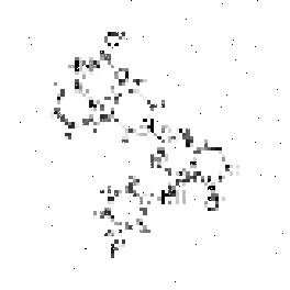 O=C1Nc2ccccc2C2(CCN(c3nc4c(c(Nc5cccc(F)c5)n3)[S+]([O-])CC4)CC2)O1